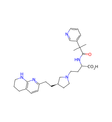 CC(C)(C(=O)NC(CCN1CC[C@@H](CCc2ccc3c(n2)NCCC3)C1)C(=O)O)c1cccnc1